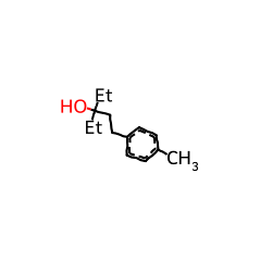 CCC(O)(CC)CCc1ccc(C)cc1